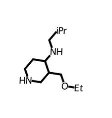 CCOCC1CNCCC1NCC(C)C